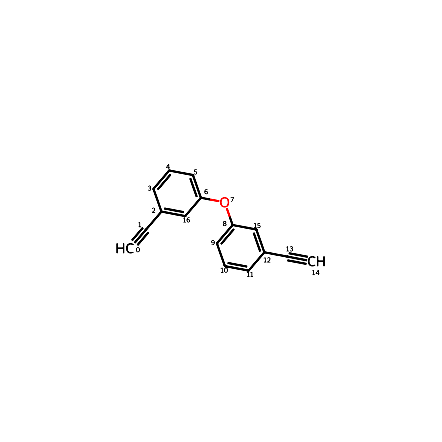 C#Cc1cccc(Oc2cccc(C#C)c2)c1